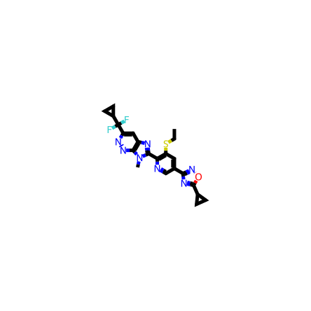 CCSc1cc(-c2noc(C3CC3)n2)cnc1-c1nc2cc(C(F)(F)C3CC3)nnc2n1C